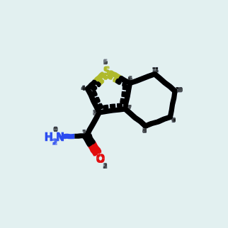 NC(=O)c1csc2c1CCCC2